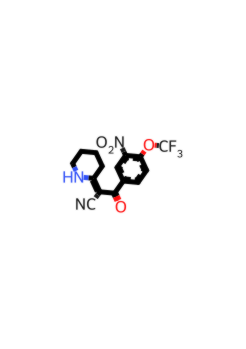 N#CC(C(=O)c1ccc(OC(F)(F)F)c([N+](=O)[O-])c1)=C1CCCCN1